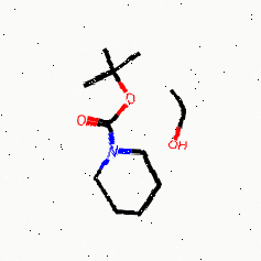 CC(C)(C)OC(=O)N1CCCCC1.CCO